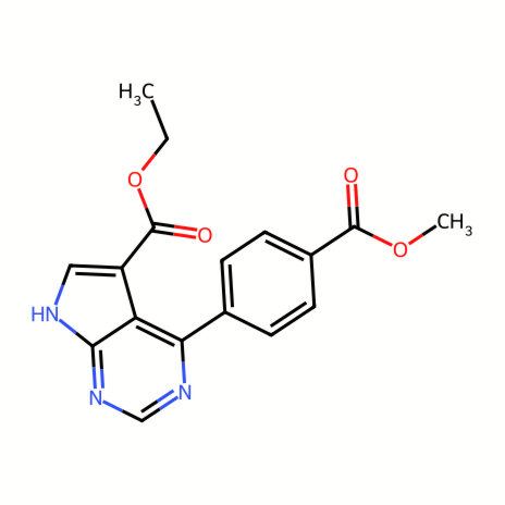 CCOC(=O)c1c[nH]c2ncnc(-c3ccc(C(=O)OC)cc3)c12